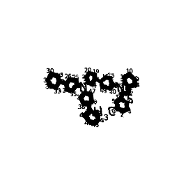 Cc1ccc2sc3c4ccccc4n(-c4ccc(-c5cccc(N(c6ccc(-c7ccccc7)cc6)c6ccc(-c7ccccc7)cc6)c5)cc4)c3c2c1